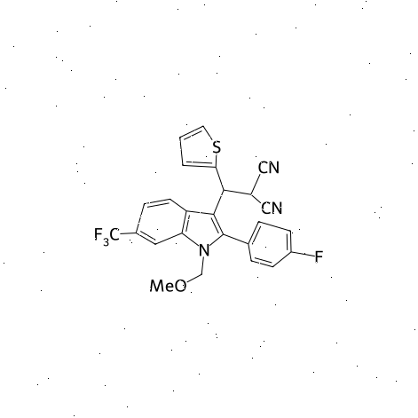 COCn1c(-c2ccc(F)cc2)c(C(c2cccs2)C(C#N)C#N)c2ccc(C(F)(F)F)cc21